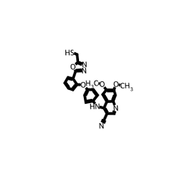 COc1cc2ncc(C#N)c(Nc3ccc(Oc4ccccc4-c4nnc(CS)o4)cc3)c2cc1OC